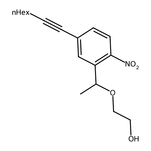 CCCCCCC#Cc1ccc([N+](=O)[O-])c(C(C)OCCO)c1